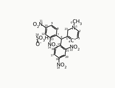 CN1C=C[C+]=C(C(c2ccc([N+](=O)[O-])cc2[N+](=O)[O-])c2ccc([N+](=O)[O-])cc2[N+](=O)[O-])C1.O=S(=O)([O-])O